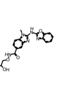 CC(O)CONC(=O)c1ccc2c(c1)nc(Nc1nc3ccccc3o1)n2C